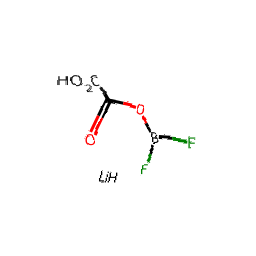 O=C(O)C(=O)OB(F)F.[LiH]